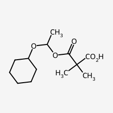 CC(OC(=O)C(C)(C)C(=O)O)OC1CCCCC1